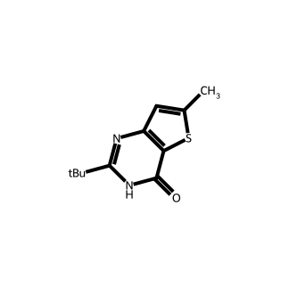 Cc1cc2nc(C(C)(C)C)[nH]c(=O)c2s1